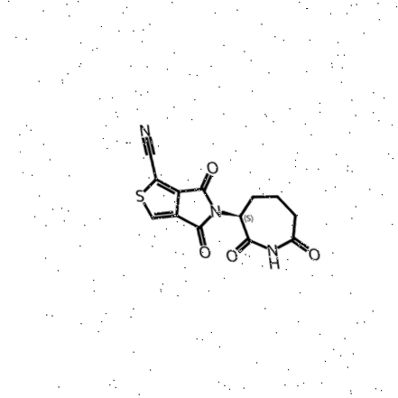 N#Cc1scc2c1C(=O)N([C@H]1CCCC(=O)NC1=O)C2=O